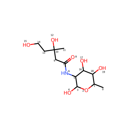 CC1OC(O)C(NC(=O)CC(C)(O)CCO)C(O)C1O